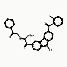 CCCCCC/C(=N\OC(=O)c1ccccc1)C(=O)c1ccc2c(c1)c1cc(C(=O)c3ccccc3C)ccc1n2CC